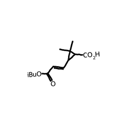 CC(C)COC(=O)C=CC1C(C(=O)O)C1(C)C